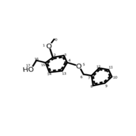 COc1cc(OCc2ccccc2)ccc1CO